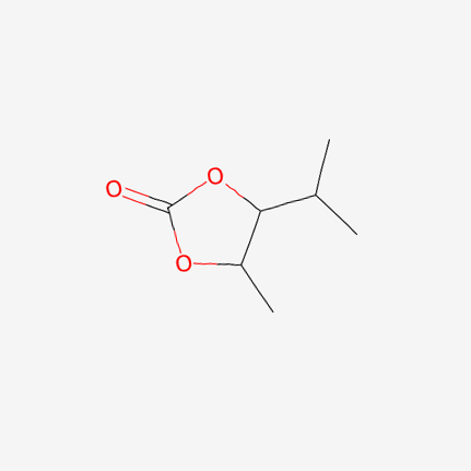 CC(C)C1OC(=O)OC1C